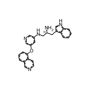 N[C@H](CNc1cncc(Oc2cccc3cnccc23)c1)Cc1c[nH]c2ccccc12